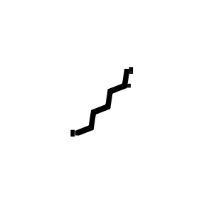 [CH][CH]CCCC[CH]